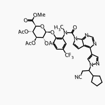 COC(=O)[C@H]1O[C@@H](Oc2ccc(C(F)(F)F)cc2N(C)C(=O)n2ccc3c(-c4cnn(C(CC#N)C5CCCC5)c4)ncnc32)[C@H](OC(C)=O)[C@@H](OC(C)=O)[C@@H]1OC(C)=O